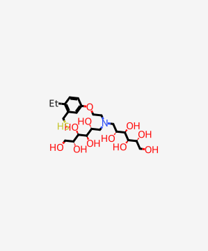 CCc1ccc(OCCN(C[C@@H](O)[C@@H](O)[C@H](O)[C@H](O)CO)C[C@@H](O)[C@@H](O)[C@H](O)[C@H](O)CO)cc1CS